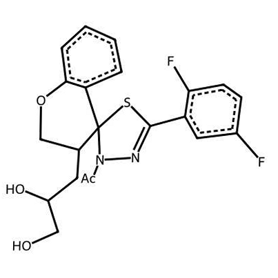 CC(=O)N1N=C(c2cc(F)ccc2F)SC12c1ccccc1OCC2CC(O)CO